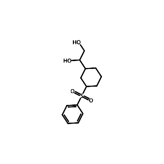 O=S(=O)(c1ccccc1)C1CCCC(C(O)CO)C1